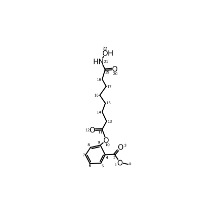 COC(=O)c1ccccc1OC(=O)CCCCCCC(=O)NO